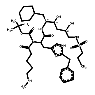 CCCS(=O)(=O)NC[C@H](O)C[C@H](O)[C@H](CC1CCCCC1)NC(=O)C(Cc1c[nH]c(Cc2ccccc2)n1)N(C(=O)CCCCNC)C(=O)OC(C)(C)C